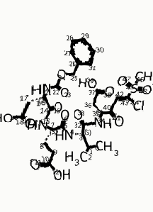 CC(C)[C@H](NC(=O)[C@H](CCC(=O)O)NC(=O)[C@H](CC(=O)O)NC(=O)OCc1ccccc1)C(=O)N[C@@H](CC(=O)O)C(=O)C=C(Cl)S(C)(=O)=O